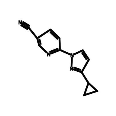 N#Cc1ccc(-n2ccc(C3CC3)n2)nc1